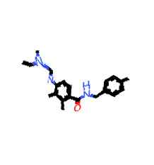 CCN(C)C=Nc1ccc(C(=O)NCc2ccc(C)cc2)c(C)c1C